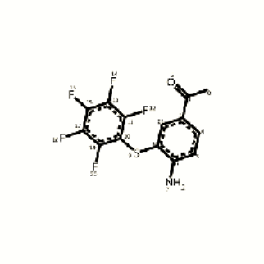 CC(=O)c1ccc(N)c(Sc2c(F)c(F)c(F)c(F)c2F)c1